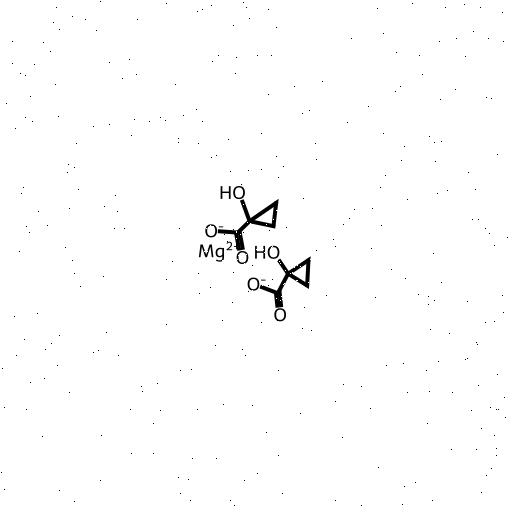 O=C([O-])C1(O)CC1.O=C([O-])C1(O)CC1.[Mg+2]